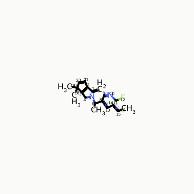 C=C1C2=C(CN1C(C)C(/C=N\CF)=C/C=C/C)C(C)(C)C=C2